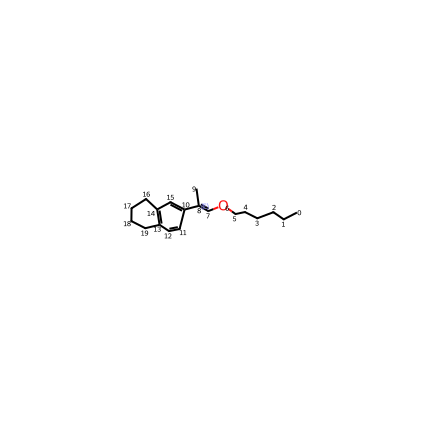 CCCCCCO/C=C(\C)c1ccc2c(c1)CCCC2